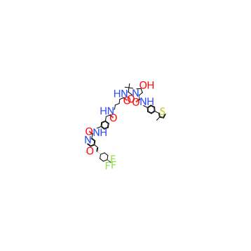 COc1cnc(C(=O)NCc2cccc(CC(=O)NCCCCC(=O)N[C@H](C(=O)N3C[C@H](O)C[C@H]3C(=O)NCc3ccc(-c4sccc4C)cc3)C(C)(C)C)c2)cc1/C=C/[C@H]1CC[C@H](C(F)(F)F)CC1